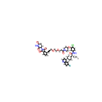 C[C@@H](C(=O)Nc1ccc(Cl)c(OC2CCN(C(=O)CCOCCOCC#Cc3cccc4c3C(=O)N(C3CCC(=O)NC3=O)C4=O)CC2)c1)[C@H]1CC[C@@H](c2ccnc3ccc(F)cc32)CC1